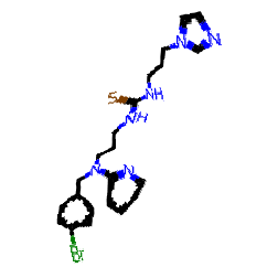 S=C(NCCCN(Cc1ccc(Br)cc1)c1ccccn1)NCCCn1ccnc1